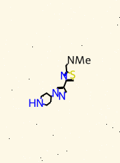 CNCc1nc(-c2cnn(C3CCNCC3)c2)cs1